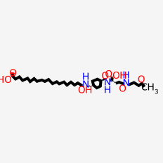 CC(=O)CCCNC(=O)CC[C@H](NC(=O)[C@H]1CC[C@H](CNC(O)CCCCCCCCCCCCCCCCCCC(=O)O)CC1)C(=O)O